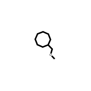 [CH2]OCC1CCCCCCC1